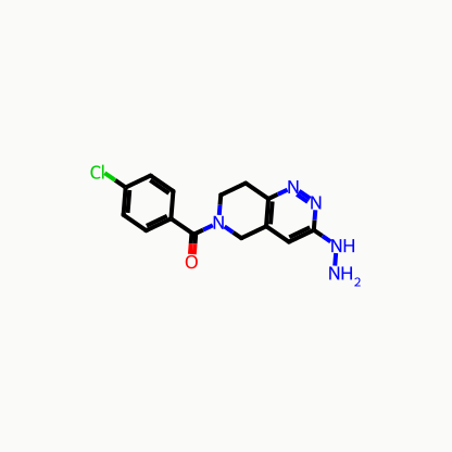 NNc1cc2c(nn1)CCN(C(=O)c1ccc(Cl)cc1)C2